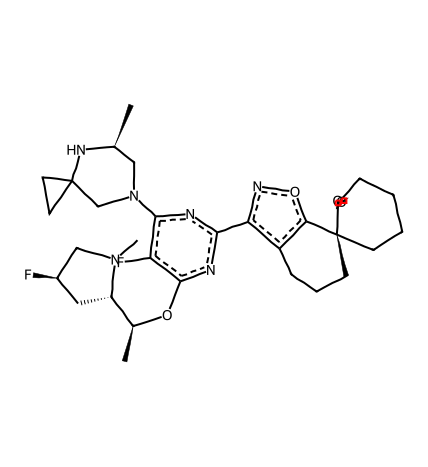 C[C@H](Oc1nc(-c2noc3c2CCC[C@@]32CCCCC23OCCO3)nc(N2C[C@H](C)NC3(CC3)C2)c1F)[C@@H]1C[C@@H](F)CN1C